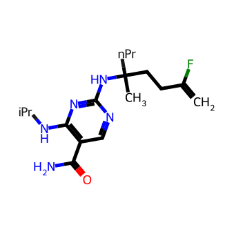 C=C(F)CCC(C)(CCC)Nc1ncc(C(N)=O)c(NC(C)C)n1